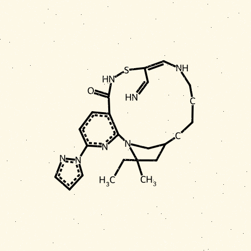 CCC1(C)CC2CCCCN/C=C(\C=N)SNC(=O)c3ccc(-n4cccn4)nc3N1C2